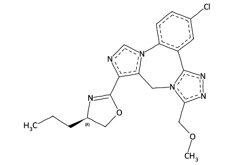 CCC[C@@H]1COC(c2ncn3c2Cn2c(COC)nnc2-c2cc(Cl)ccc2-3)=N1